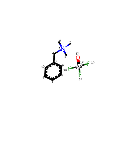 C[N+](C)(C)Cc1ccccc1.O=[As](F)(F)F